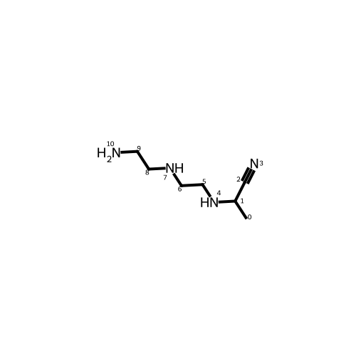 CC(C#N)NCCNCCN